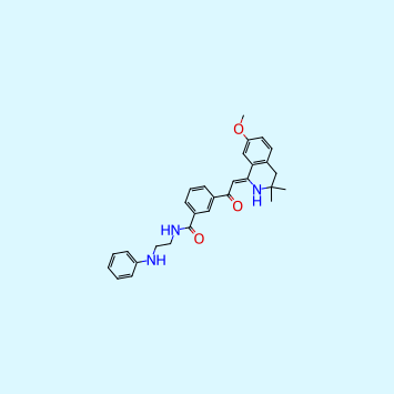 COc1ccc2c(c1)C(=CC(=O)c1cccc(C(=O)NCCNc3ccccc3)c1)NC(C)(C)C2